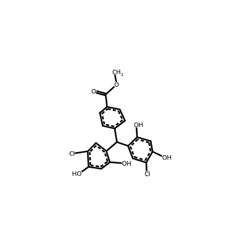 COC(=O)c1ccc(C(c2cc(Cl)c(O)cc2O)c2cc(Cl)c(O)cc2O)cc1